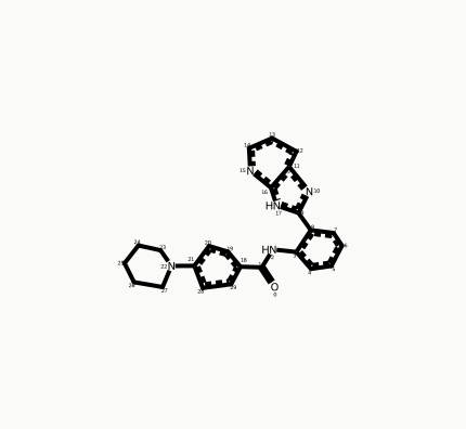 O=C(Nc1ccccc1-c1nc2cccnc2[nH]1)c1ccc(N2CCCCC2)cc1